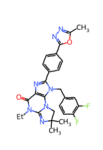 CCN1C(=O)c2nc(-c3ccc(-c4nnc(C)o4)cc3)n(Cc3ccc(F)c(F)c3)c2N2CC(C)(C)N=C12